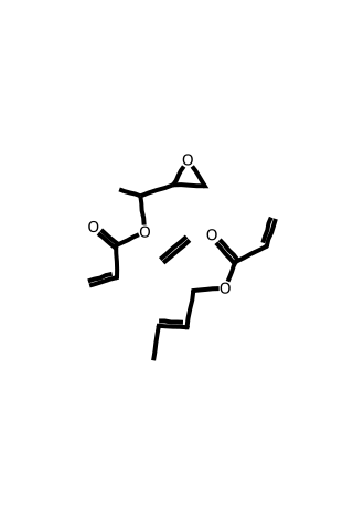 C=C.C=CC(=O)OC(C)C1CO1.C=CC(=O)OCC=CC